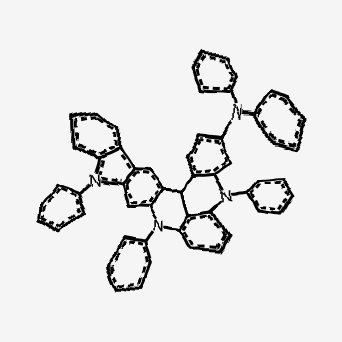 c1ccc(N(c2ccccc2)c2ccc3c(c2)N(c2ccccc2)c2cccc4c2C3c2cc3c5ccccc5n(-c5ccccc5)c3cc2N4c2ccccc2)cc1